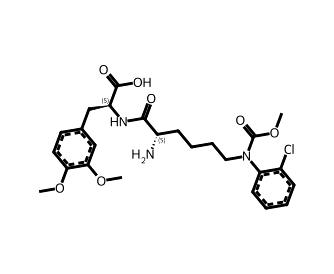 COC(=O)N(CCCC[C@H](N)C(=O)N[C@@H](Cc1ccc(OC)c(OC)c1)C(=O)O)c1ccccc1Cl